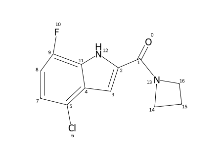 O=C(c1cc2c(Cl)ccc(F)c2[nH]1)N1CCC1